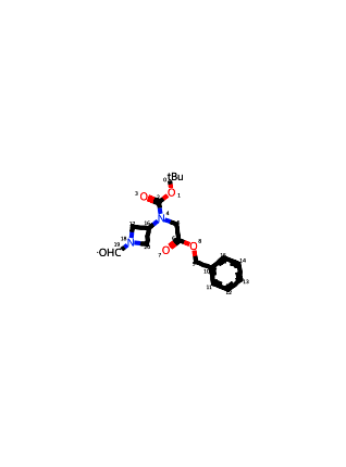 CC(C)(C)OC(=O)N(CC(=O)OCc1ccccc1)C1CN([C]=O)C1